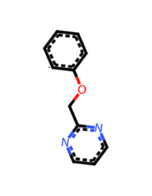 [c]1ccccc1OCc1ncccn1